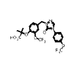 CC(C)(Oc1ccc(Cn2ncn(-c3ccc(OC(F)(F)F)cc3)c2=O)cc1OC(F)(F)F)C(=O)O